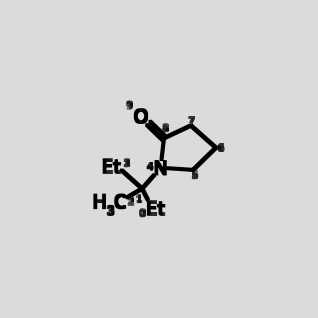 [CH2]CC(C)(CC)N1CCCC1=O